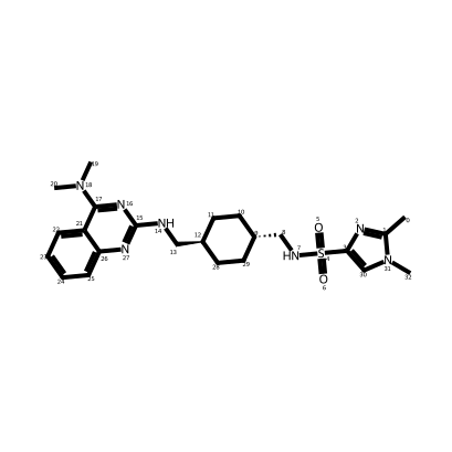 Cc1nc(S(=O)(=O)NC[C@H]2CC[C@H](CNc3nc(N(C)C)c4ccccc4n3)CC2)cn1C